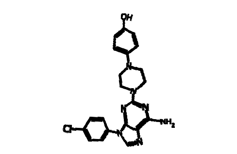 Nc1nc(N2CCN(c3ccc(O)cc3)CC2)nc2c1ncn2-c1ccc(Cl)cc1